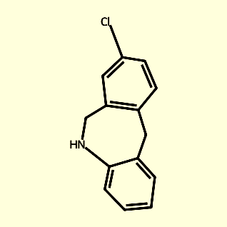 Clc1ccc2c(c1)CNc1ccccc1C2